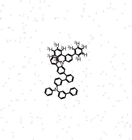 [2H]c1c([2H])c([2H])c(-c2ccc(-n3c4ccccc4c4ccc(-c5ccccc5-c5cccc(N(c6ccccc6)c6cccc(-c7ccccc7)c6)c5)cc43)c(-c3c([2H])c([2H])c([2H])c([2H])c3[2H])c2)c([2H])c1[2H]